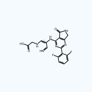 N=C/C(=C\NCC(=O)O)Nc1nc(-c2c(F)cccc2F)nc2c1C(=O)NC2